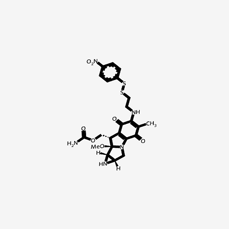 CO[C@@]12[C@H](COC(N)=O)C3=C(C(=O)C(C)=C(NCCSSc4ccc([N+](=O)[O-])cc4)C3=O)N1C[C@@H]1N[C@@H]12